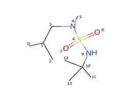 CC(C)CN(C)S(=O)(=O)NC(C)(C)C